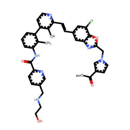 COC(=O)c1ccn(Cc2nc3cc(/C=C/c4nccc(-c5cccc(NC(=O)c6ccc(CNCCO)cn6)c5C)c4C#N)cc(Cl)c3o2)c1